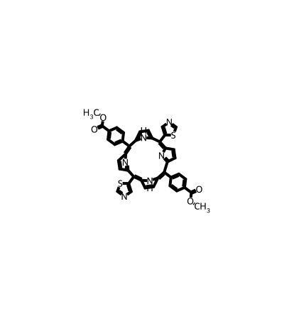 COC(=O)c1ccc(-c2c3nc(c(-c4cncs4)c4ccc([nH]4)c(-c4ccc(C(=O)OC)cc4)c4nc(c(-c5cncs5)c5ccc2[nH]5)C=C4)C=C3)cc1